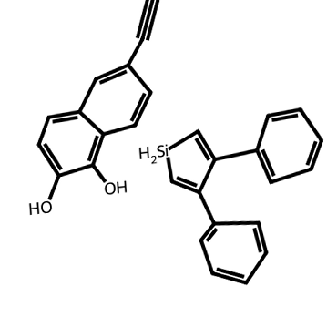 C#Cc1ccc2c(O)c(O)ccc2c1.C1=C(c2ccccc2)C(c2ccccc2)=C[SiH2]1